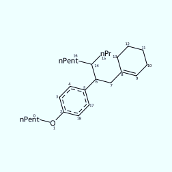 CCCCCOc1ccc(C(CC2=CCCCC2)C(CCC)CCCCC)cc1